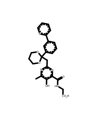 Cc1nc(CC2(c3cccc(-c4ccccn4)c3)OCCCO2)nc(C(=O)NCC(=O)O)c1O